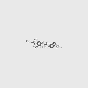 C=C(CC)C(=O)c1ccc(OCC(=O)Nc2ccc3c(ccn3C)c2)c(Cl)c1Cl